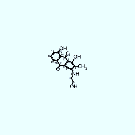 Cc1c(NCCO)cc2c(c1O)C(=O)c1c(O)cccc1C2=O